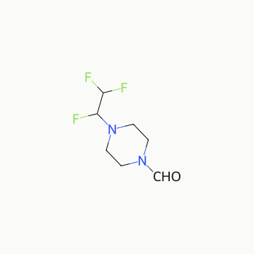 O=CN1CCN(C(F)C(F)F)CC1